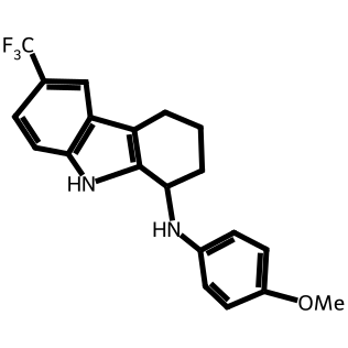 COc1ccc(NC2CCCc3c2[nH]c2ccc(C(F)(F)F)cc32)cc1